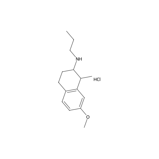 CCCNC1CCc2ccc(OC)cc2C1C.Cl